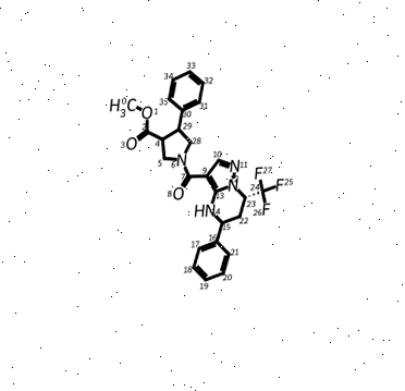 COC(=O)C1CN(C(=O)c2cnn3c2NC(c2ccccc2)C[C@H]3C(F)(F)F)CC1c1ccccc1